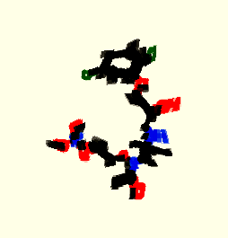 CC(=O)N(CC(C)(C)NCC(O)COc1cc(Cl)ccc1Cl)OCCO[N+](=O)[O-]